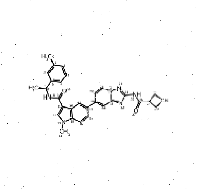 Cc1cccc([C@H](C)NC(=O)c2cn(C)c3ccc(-c4ccn5nc(NC(=O)C6COC6)nc5c4)cc23)c1